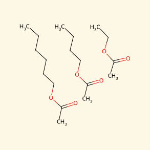 CCCCCCOC(C)=O.CCCCOC(C)=O.CCOC(C)=O